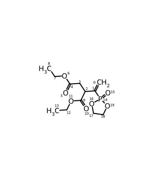 C=C(C(CC(=O)OCC)C(=O)OCC)P1(=O)OCCO1